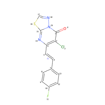 O=c1c(Cl)c(/C=C/c2ccc(F)cc2)nc2scnn12